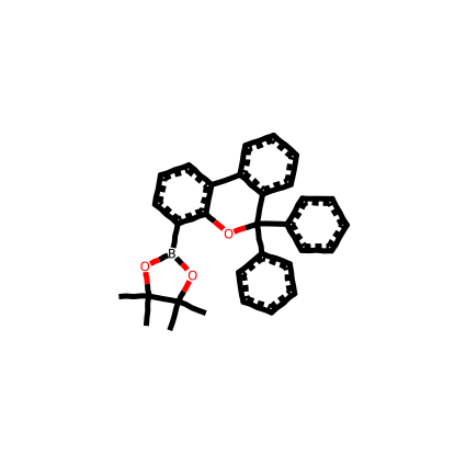 CC1(C)OB(c2cccc3c2OC(c2ccccc2)(c2ccccc2)c2ccccc2-3)OC1(C)C